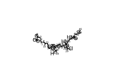 COC1=CC[C@@H]([C@@H](C)/C=C(C)/C=C\C=C/C(=O)N[C@H](C(=O)N/C=C\C[C@H](C/C=C(\C)Cl)OC(=O)NCCCNC(=O)CCSSC)C(C)(C)C)OC1=O